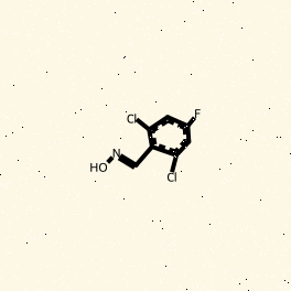 ON=Cc1c(Cl)cc(F)cc1Cl